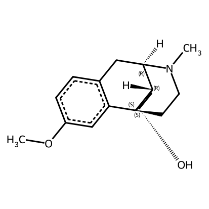 COc1ccc2c(c1)[C@]13CCN(C)[C@H](C2)[C@@H]1CC[C@H](O)C3